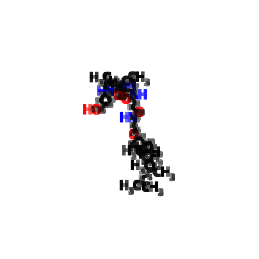 CC(C)CCC[C@@H](C)[C@H]1CC[C@@H]2[C@]1(C)CC[C@H]1[C@@]2(C)CC=C2C[C@@H](OCCCNC(=O)CCC(=O)N[C@@H](CC(C)C)C(=O)N[C@@H](CC(C)C)C(=O)Nc3ccc(CO)cc3)CC[C@@]21C